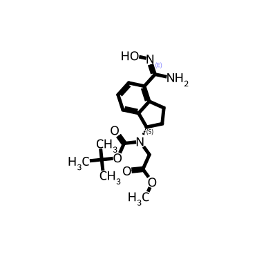 COC(=O)CN(C(=O)OC(C)(C)C)[C@H]1CCc2c(/C(N)=N\O)cccc21